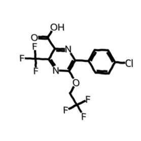 O=C(O)c1nc(-c2ccc(Cl)cc2)c(OCC(F)(F)F)nc1C(F)(F)F